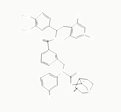 COc1ccc(C(Cc2c(Cl)c[n+]([O-])cc2Cl)OC(=O)c2cccc(CN(C(=O)O[C@H]3CN4CCC3CC4)c3cccc(C#N)c3)c2)cc1OC